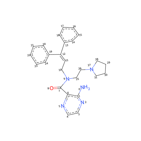 Nc1nccnc1C(=O)N(CC=C(c1ccccc1)c1ccccc1)CCN1CCCC1